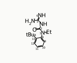 CCN(C(=O)NC(=N)N)c1ccccc1C(C)(C)C